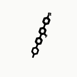 CCc1ccc(-c2ccc(-c3ccc(C4CCC(C)CC4)cc3)c(F)c2)cc1